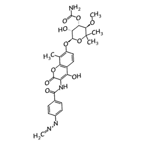 C=[N+]=Nc1ccc(C(=O)Nc2c(O)c3ccc(O[C@@H]4OC(C)(C)[C@H](OC)[C@@H](OC(N)=O)[C@H]4O)c(C)c3oc2=O)cc1